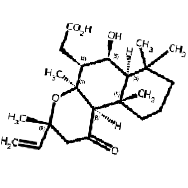 C=C[C@@]1(C)CC(=O)[C@@H]2[C@@]3(C)CCCC(C)(C)[C@@H]3[C@H](O)[C@H](CC(=O)O)[C@]2(C)O1